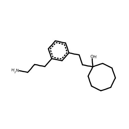 NCCCc1cccc(CCC2(O)CCCCCCC2)c1